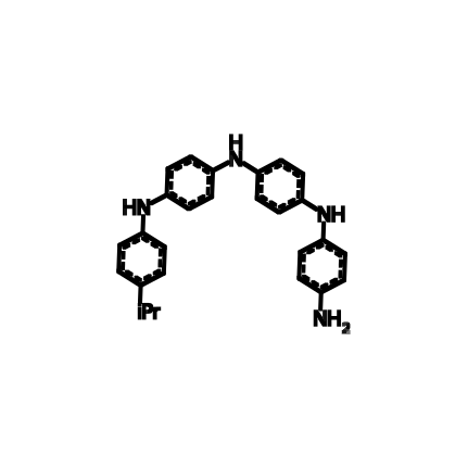 CC(C)c1ccc(Nc2ccc(Nc3ccc(Nc4ccc(N)cc4)cc3)cc2)cc1